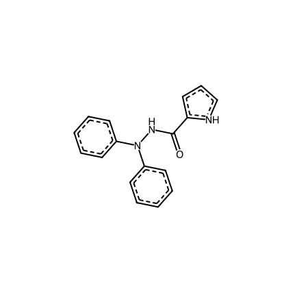 O=C(NN(c1ccccc1)c1ccccc1)c1ccc[nH]1